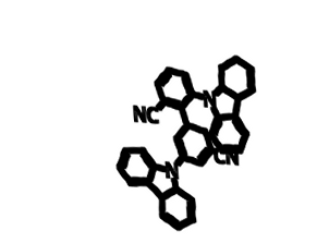 N#CC1=CC(N2c3ccccc3C3C=CC=CC32)=CC(c2c(C#N)cccc2N2c3ccccc3C3C=CCCC32)C1